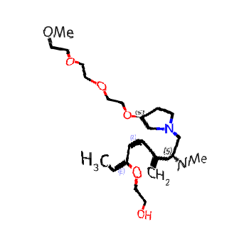 C=C(/C=C\C(=C/C)OCCO)[C@@H](CN1CC[C@H](OCCOCCOCCOC)C1)NC